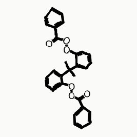 CC(C)(c1ccccc1OOC(=O)c1ccccc1)c1ccccc1OOC(=O)c1ccccc1